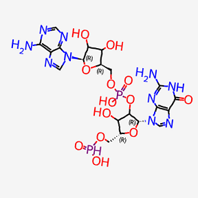 Nc1nc2c(ncn2[C@@H]2O[C@H](CO[PH](=O)O)C(O)C2OP(=O)(O)OC[C@H]2O[C@@H](n3cnc4c(N)ncnc43)C(O)C2O)c(=O)[nH]1